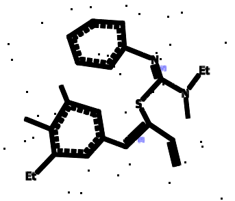 C=C/C(=C/c1cc(C)c(C)c(CC)c1)S/C(=N\c1ccccc1)N(C)CC